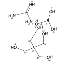 N=C(N)N.OB(O)O.OCC(CO)(CO)CO